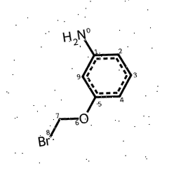 Nc1cccc(OCBr)c1